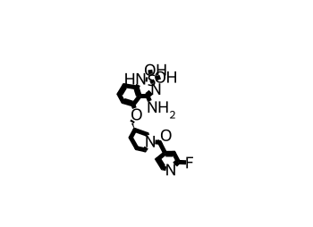 NC1=NS(O)(O)Nc2cccc(OC[C@H]3CCCN(C(=O)c4ccnc(F)c4)C3)c21